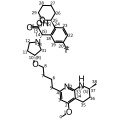 COc1cc(CCCCO[C@@H]2CCN([C@H](C(=O)O)c3cc(F)ccc3[C@@H]3CCCCO3)C2)nc2c1CC[C@H](C)N2